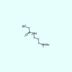 CC(=O)NCCCNC(=O)CC(C)C